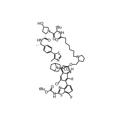 Cc1ncsc1-c1ccc([C@H](C)NC(=O)[C@@H]2C[C@@H](O)CN2C(=O)C(NC(=O)CCCCCCN2CCCC2COc2nc(N3C4CCC3CN(C(=O)O)C4)c3cc(Cl)c(-c4ccc(F)c5sc(NC(=O)OC(C)(C)C)nc45)c(F)c3n2)C(C)(C)C)cc1